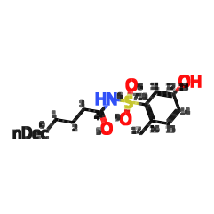 CCCCCCCCCCCCCC(=O)NS(=O)(=O)c1cc(O)ccc1C